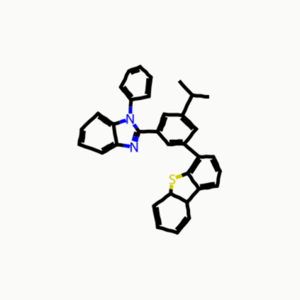 CC(C)c1cc(-c2cccc3c2SC2C=CC=CC32)cc(-c2nc3ccccc3n2-c2ccccc2)c1